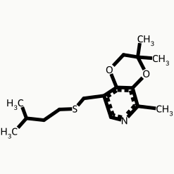 Cc1ncc(CSCCC(C)C)c2c1OC(C)(C)CO2